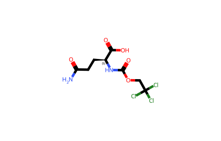 NC(=O)CC[C@H](NC(=O)OCC(Cl)(Cl)Cl)C(=O)O